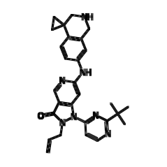 C=CCn1c(=O)c2cnc(Nc3ccc4c(c3)CNCC43CC3)cc2n1-c1ccnc(C(C)(C)C)n1